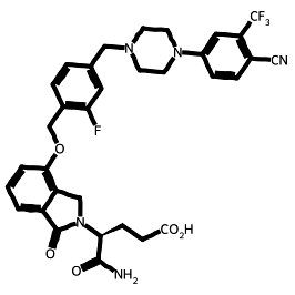 N#Cc1ccc(N2CCN(Cc3ccc(COc4cccc5c4CN([C@@H](CCC(=O)O)C(N)=O)C5=O)c(F)c3)CC2)cc1C(F)(F)F